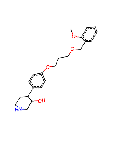 COc1ccccc1COCCCOc1ccc(C2CCNCC2O)cc1